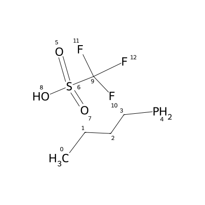 CCCCP.O=S(=O)(O)C(F)(F)F